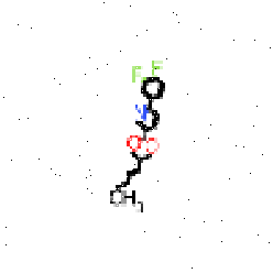 CCC/C=C/[C@H]1CO[C@H](c2ccc(-c3ccc(F)c(F)c3)nc2)OC1